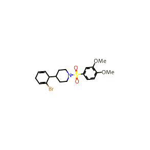 COc1ccc(S(=O)(=O)N2CCC(C3C=CCC=C3Br)CC2)cc1OC